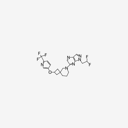 FC(F)Cn1ncc2ncc(N3CCCC4(CC(Oc5ccc(C(F)(F)F)nc5)C4)C3)nc21